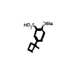 COc1ccc(C2(C)CCC2)cc1S(=O)(=O)O